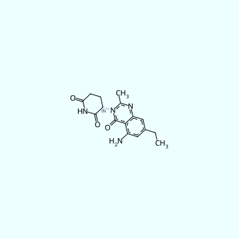 CCc1cc(N)c2c(=O)n([C@H]3CCC(=O)NC3=O)c(C)nc2c1